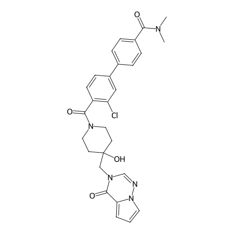 CN(C)C(=O)c1ccc(-c2ccc(C(=O)N3CCC(O)(Cn4cnn5cccc5c4=O)CC3)c(Cl)c2)cc1